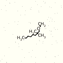 C=COCC(C)(C)CCCCCC